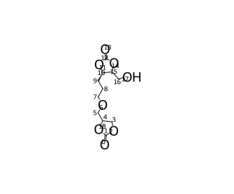 O=C1OCC(COCCC[C@H]2OC(=O)OC2CO)O1